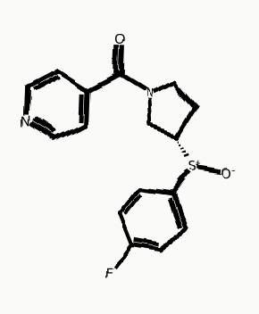 O=C(c1ccncc1)N1CC[C@H]([S+]([O-])c2ccc(F)cc2)C1